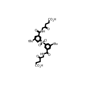 CC(C)(C)c1cc(C(=O)NCC(=O)CCC(=O)O)c[c]([Sn]([Cl])([Cl])[c]2cc(C(=O)NCC(=O)CCC(=O)O)cc(C(C)(C)C)c2)c1